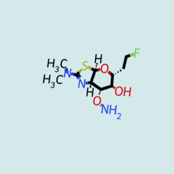 CN(C)C1=N[C@@H]2[C@@H](ON)[C@H](O)[C@@H](CCF)O[C@@H]2S1